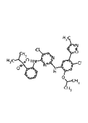 Cc1cc(-c2cc(Nc3ncc(Cl)c(Nc4ccccc4S(=O)(=O)C(C)C)n3)c(OC(C)C)cc2Cl)on1